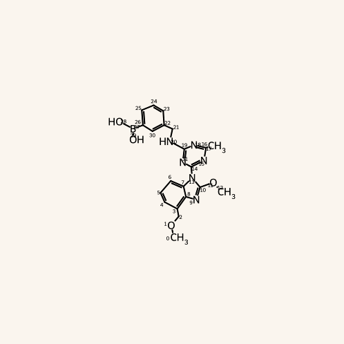 COCc1cccc2c1nc(OC)n2-c1nc(C)nc(NCc2cccc(B(O)O)c2)n1